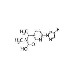 CC(c1ccc(-n2cc(F)cn2)nc1)N(C)C(=O)O